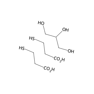 O=C(O)CCS.O=C(O)CCS.OCC(O)CO